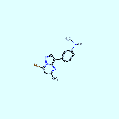 Cc1cc(S)n2ncc(-c3cccc(N(C)C)c3)c2n1